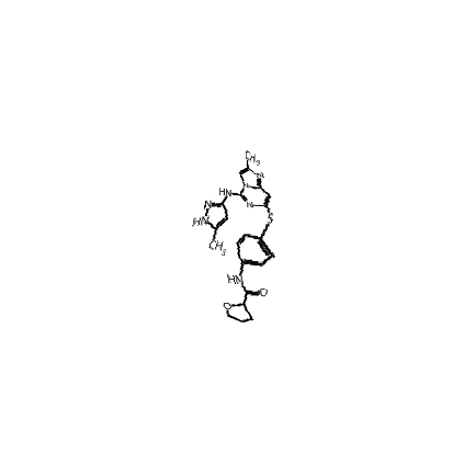 Cc1cn2c(Nc3cc(C)[nH]n3)nc(Sc3ccc(NC(=O)C4CCCO4)cc3)cc2n1